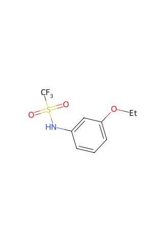 CCOc1cccc(NS(=O)(=O)C(F)(F)F)c1